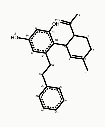 C=C(C)C1CCC(C)=CC1c1c(O)cc(O)cc1CCc1ccccc1